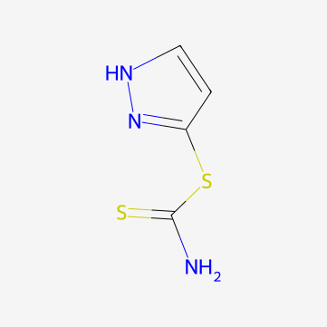 NC(=S)Sc1cc[nH]n1